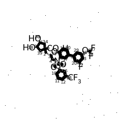 O=C(O)C1(C[C@H]2CN(S(=O)(=O)c3cccc(C(F)(F)F)c3)c3cc(-c4cc(F)cc(OC(F)F)c4)ccc3O2)C[C@@H](O)[C@@H](O)C1